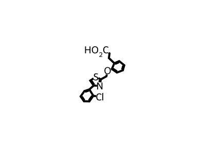 O=C(O)CCc1ccccc1OCc1nc(-c2ccccc2Cl)cs1